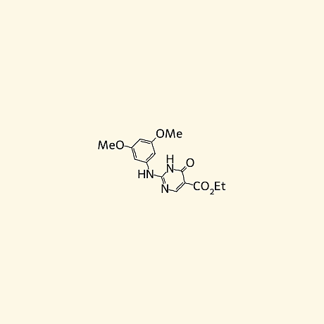 CCOC(=O)c1cnc(Nc2cc(OC)cc(OC)c2)[nH]c1=O